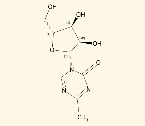 Cc1ncn([C@@H]2O[C@H](CO)[C@@H](O)[C@H]2O)c(=O)n1